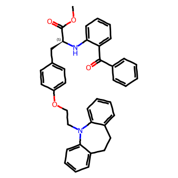 COC(=O)[C@H](Cc1ccc(OCCN2c3ccccc3CCc3ccccc32)cc1)Nc1ccccc1C(=O)c1ccccc1